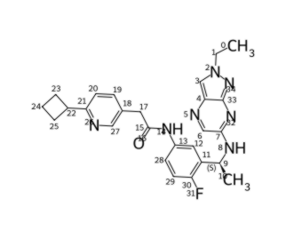 CCn1cc2ncc(N[C@@H](C)c3cc(NC(=O)Cc4ccc(C5CCC5)nc4)ccc3F)nc2n1